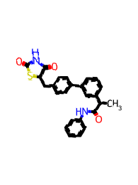 CC(C(=O)Nc1ccccc1)c1cccc(-c2ccc(CC3SC(=O)NC3=O)cc2)c1